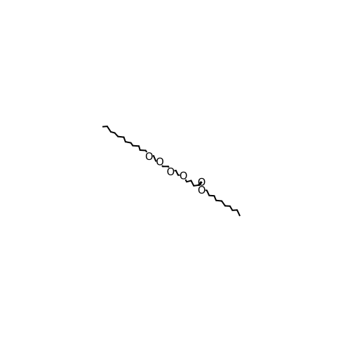 CCCCCCCCCCCCOCCOCCOCCOCCCC(=O)OCCCCCCCCCC